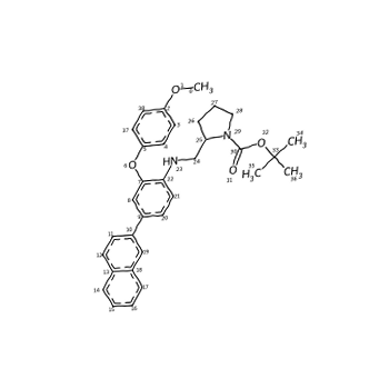 COc1ccc(Oc2cc(-c3ccc4ccccc4c3)ccc2NCC2CCCN2C(=O)OC(C)(C)C)cc1